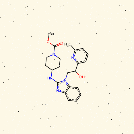 Cc1cccc(C(O)Cn2c(NC3CCN(C(=O)OC(C)(C)C)CC3)nc3ccccc32)n1